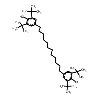 CC(C)(C)c1cc(CCCCCCCCCCCCc2cc(C(C)(C)C)c(O)c(C(C)(C)C)c2)cc(C(C)(C)C)c1O